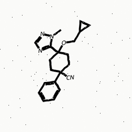 Cn1ncnc1C1(OCC2CC2)CCC(C#N)(c2ccccc2)CC1